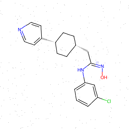 O/N=C(/C[C@H]1CC[C@@H](c2ccncc2)CC1)Nc1cccc(Cl)c1